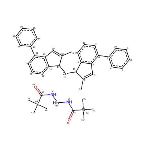 CC1=Cc2c(-c3ccccc3)cccc2[CH]1[Zr][CH]1C(C)=Cc2c(-c3ccccc3)cccc21.C[Si](C)(C)C(=O)[NH][InH][NH]C(=O)[Si](C)(C)C